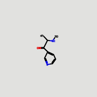 CCCC(NN=O)C(=O)c1cccnc1